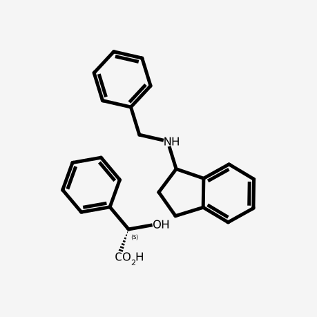 O=C(O)[C@@H](O)c1ccccc1.c1ccc(CNC2CCc3ccccc32)cc1